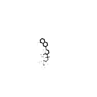 COc1nc(-c2ccc3cccc(F)c3c2)ccc1C(C)(C)CC1OC(=O)NC1=O